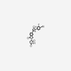 Cn1cc(-c2ccc3c(c2)CN(C2CCC(=O)NC2=O)C3=O)nc1-c1ccc(C#N)c(F)c1